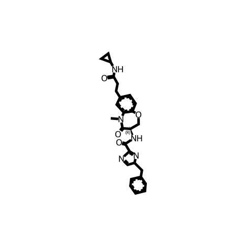 CN1C(=O)[C@H](NC(=O)C2=NC(Cc3ccccc3)C=N2)COc2ccc(CCC(=O)NC3CC3)cc21